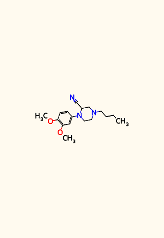 CCCCN1CCN(c2ccc(OC)c(OC)c2)C(C#N)C1